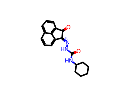 O=C(N/N=C1/C(=O)c2cccc3cccc1c23)NC1CCCCC1